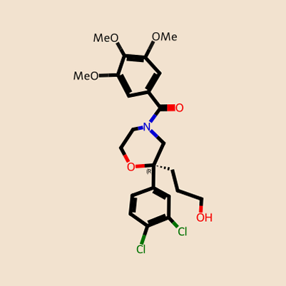 COc1cc(C(=O)N2CCO[C@](CCCO)(c3ccc(Cl)c(Cl)c3)C2)cc(OC)c1OC